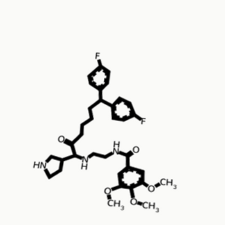 COc1cc(C(=O)NCCNC(C(=O)CCCCC(c2ccc(F)cc2)c2ccc(F)cc2)C2CCNC2)cc(OC)c1OC